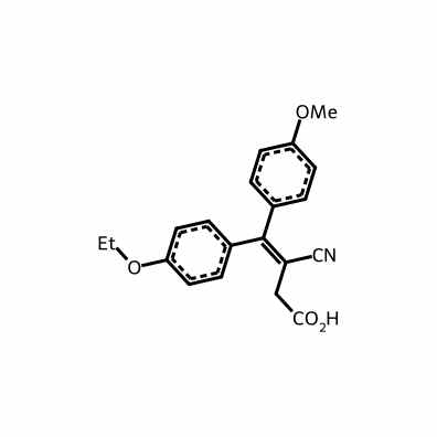 CCOc1ccc(C(=C(C#N)CC(=O)O)c2ccc(OC)cc2)cc1